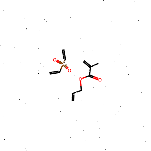 C=CCOC(=O)C(=C)C.C=CS(=O)(=O)C=C